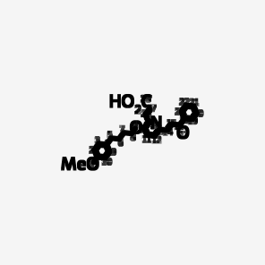 COc1ccc(CCCCOc2ccc(/C=C/C(=O)c3ccccc3)nc2C=CC(=O)O)cc1